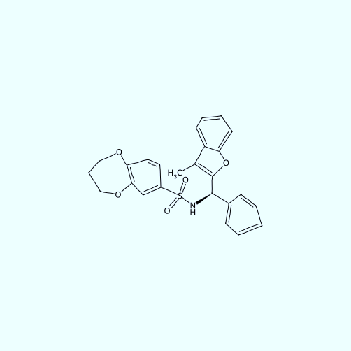 Cc1c([C@H](NS(=O)(=O)c2ccc3c(c2)OCCCO3)c2ccccc2)oc2ccccc12